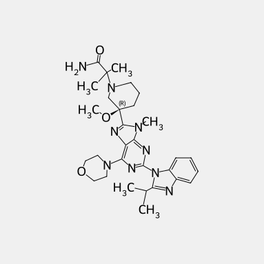 CO[C@]1(c2nc3c(N4CCOCC4)nc(-n4c(C(C)C)nc5ccccc54)nc3n2C)CCCN(C(C)(C)C(N)=O)C1